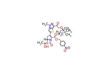 Cc1nc(C(=O)CO[Si](C)(C)C(C)(C)C)c2sc(C3=C(C(=O)OCc4ccc([N+](=O)[O-])cc4)N4C(=O)[C@H]([C@@H](C)O)[C@H]4C3)cn12